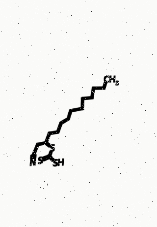 CCCCCCCCCCCC(CC#N)SC(=S)S